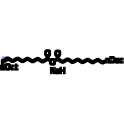 CCCCCCCC/C=C\CCCCCCCC(=O)OC(=O)CCCCCCCCCCCCCCCCCCC.[NaH]